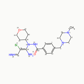 CN1CCN(Cc2ccc(C(=O)NN(/C(N)=C(\Br)C=N)C3CCOCC3)cc2)CC1